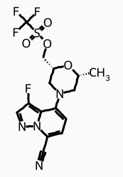 C[C@@H]1CN(c2ccc(C#N)n3ncc(F)c23)C[C@H](COS(=O)(=O)C(F)(F)F)O1